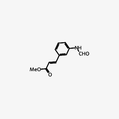 COC(=O)C=Cc1cccc(NC=O)c1